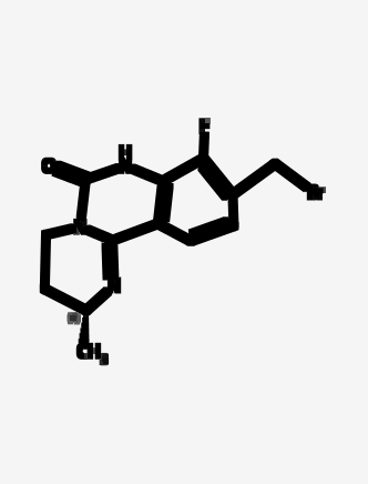 C[C@@H]1CCN2C(=O)Nc3c(ccc(CBr)c3F)C2=N1